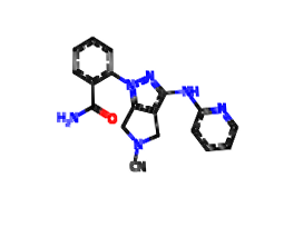 N#CN1Cc2c(Nc3ccccn3)nn(-c3ccccc3C(N)=O)c2C1